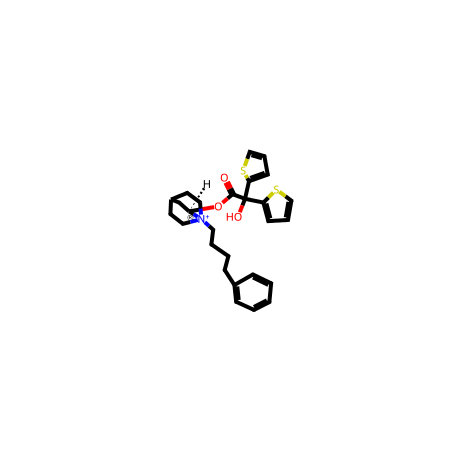 O=C(O[C@@H]1CC2CC[N+]1(CCCCc1ccccc1)CC2)C(O)(c1cccs1)c1cccs1